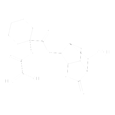 C=C(C)C(=O)OC1(C(=O)OC2C3CC4C2OC(=O)C4C3C(=O)O)CCCCC1